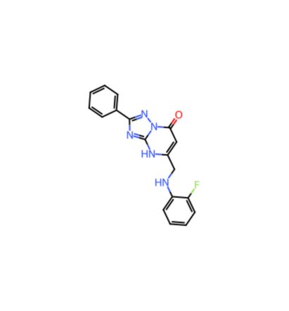 O=c1cc(CNc2ccccc2F)[nH]c2nc(-c3ccccc3)nn12